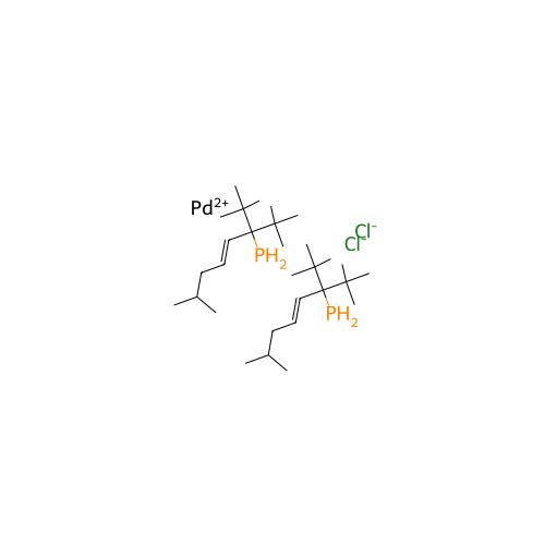 CC(C)CC=CC(P)(C(C)(C)C)C(C)(C)C.CC(C)CC=CC(P)(C(C)(C)C)C(C)(C)C.[Cl-].[Cl-].[Pd+2]